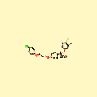 Cc1cc(OC(C)(C(=O)O)c2ccc(OCCCOc3ccc(Cl)cc3)cc2)ccc1Cl